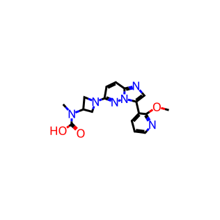 COc1ncccc1-c1cnc2ccc(N3CC(N(C)C(=O)O)C3)nn12